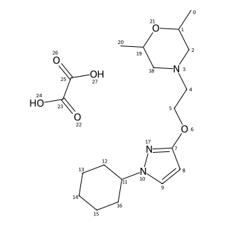 CC1CN(CCOc2ccn(C3CCCCC3)n2)CC(C)O1.O=C(O)C(=O)O